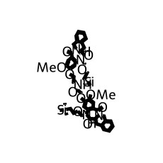 COc1cc2c(cc1OCCNC(=O)COc1cc3c(cc1OC)C(=O)N1Cc4ccccc4C[C@H]1C(=O)N3COCC[Si](C)(C)C)N(COCC[Si](C)(C)C)C(=O)[C@@H]1Cc3ccccc3CN1C2=O